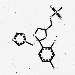 CS(=O)(=O)OC[C@@H]1CO[C@](Cn2cncn2)(c2ccc(Cl)cc2Cl)O1